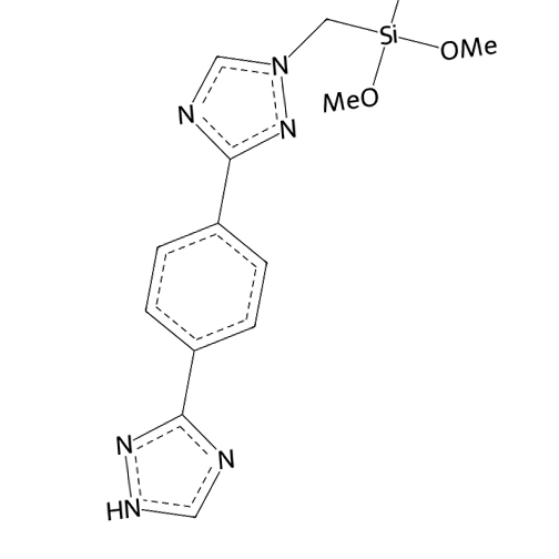 CO[Si](Cn1cnc(-c2ccc(-c3nc[nH]n3)cc2)n1)(OC)OC